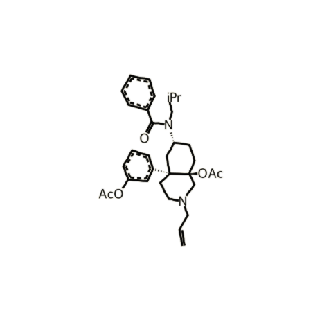 C=CCN1CC[C@@]2(c3cccc(OC(C)=O)c3)C[C@H](N(CC(C)C)C(=O)c3ccccc3)CC[C@]2(OC(C)=O)C1